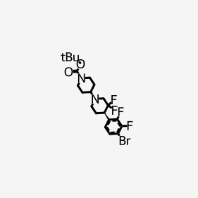 CC(C)(C)OC(=O)N1CCC(N2CC[C@H](c3ccc(Br)c(F)c3F)C(F)(F)C2)CC1